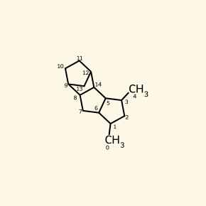 CC1CC(C)C2C1CC1C3CCC(C3)C12